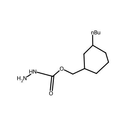 CCCCC1CCCC(COC(=O)NN)C1